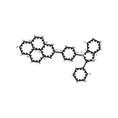 c1ccc(-c2nc3ccccc3n2-c2ccc(-c3cc4ccc5cccc6ccc(c3)c4c56)cc2)cc1